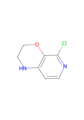 Clc1nccc2c1OCCN2